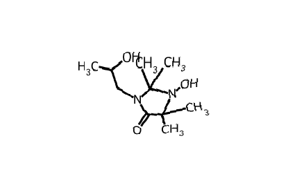 CC(O)CN1C(=O)C(C)(C)N(O)C1(C)C